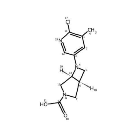 Cc1cc(N2C[C@H]3CN(C(=O)O)C[C@H]32)cnc1Cl